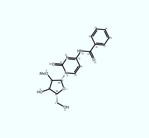 COC1C(O)[C@@H](CO)O[C@H]1n1ccc(NC(=O)c2ccccc2)nc1=O